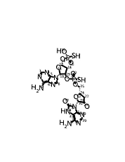 Nc1ncnc2c1ncn2[C@@H]1O[C@H](OP(=O)(O)S)CC1OP(=O)(S)OC[C@@H]1CC(=O)[C@H](n2c(=O)[nH]c3c(N)ncnc32)O1